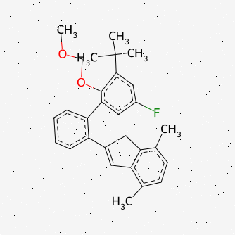 COCOc1c(-c2ccccc2C2=Cc3c(C)ccc(C)c3C2)cc(F)cc1C(C)(C)C